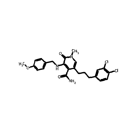 COc1ccc(CNc2c(C(N)=O)c(CCCc3ccc(Cl)c(Cl)c3)cn(C)c2=O)cc1